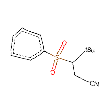 CC(C)(C)C(CC#N)S(=O)(=O)c1ccccc1